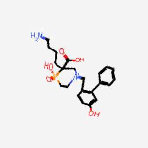 NCCCC[C@@]1(C(=O)O)CN(Cc2ccc(O)cc2-c2ccccc2)CCP1(=O)O